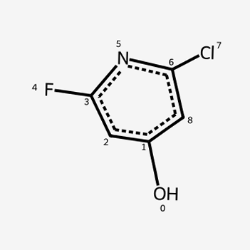 Oc1cc(F)nc(Cl)c1